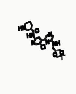 CC1(C)CO[C@@H](CNc2cncc(-c3cc(NC(=O)[C@@H]4CCCNC4)ncc3Cl)n2)CO1